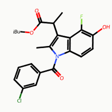 CCC(C)OC(=O)C(C)c1c(C)n(C(=O)c2cccc(Cl)c2)c2ccc(O)c(F)c12